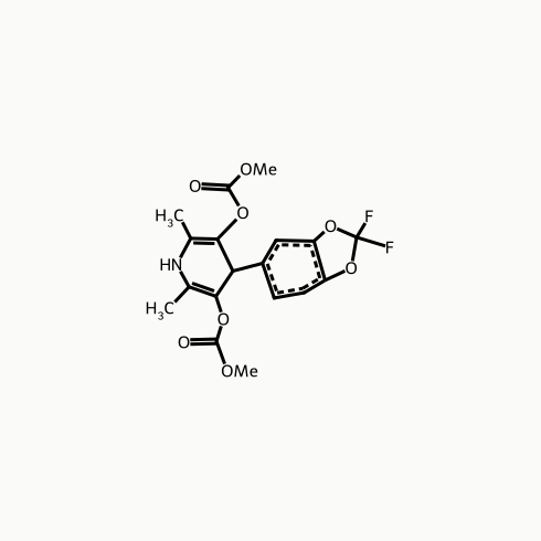 COC(=O)OC1=C(C)NC(C)=C(OC(=O)OC)C1c1ccc2c(c1)OC(F)(F)O2